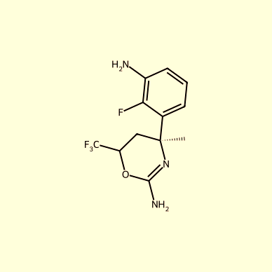 C[C@@]1(c2cccc(N)c2F)CC(C(F)(F)F)OC(N)=N1